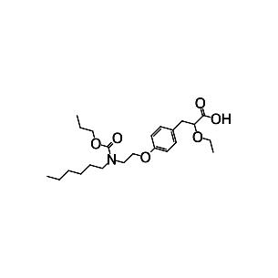 CCCCCCN(CCOc1ccc(CC(OCC)C(=O)O)cc1)C(=O)OCCC